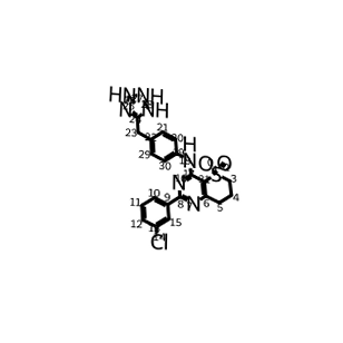 O=S1(=O)CCCc2nc(-c3cccc(Cl)c3)nc(Nc3ccc(CC4=NNNN4)cc3)c21